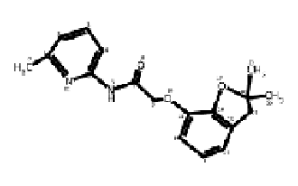 Cc1cccc(NC(=O)COc2cccc3c2OC(C)(C)C3)n1